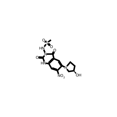 CS(=O)(=O)Nn1c(=O)[nH]c2cc([N+](=O)[O-])c(N3CC[C@@H](O)C3)cc2c1=O